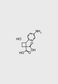 Cl.Nc1ccc(C2CCC2(C(=O)O)C(=O)O)cc1